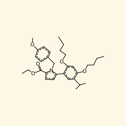 CCCCOc1cc(OCCCC)c(C(C)C)cc1-c1ccc(C(=O)OCC)n1Cc1ccc(OC)cc1